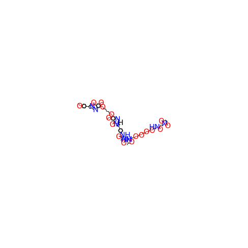 COc1ccc(C2=CN3C(=O)c4cc(OC)c(OCCCCCOc5cc6c(cc5OC)C(=O)N5C=C(c7ccc(NC(=O)[C@H](C)NC(=O)C(NC(=O)CCOCCOCCOCCOCCNC(=O)CCN8C(=O)C=CC8=O)C(C)C)cc7)C[C@H]5C=N6)cc4N=CC3C2)cc1